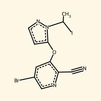 CC(I)n1nccc1Oc1cc(Br)cnc1C#N